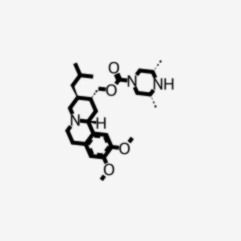 COc1cc2c(cc1OC)[C@H]1C[C@@H](COC(=O)N3C[C@@H](C)N[C@@H](C)C3)[C@H](CC(C)C)CN1CC2